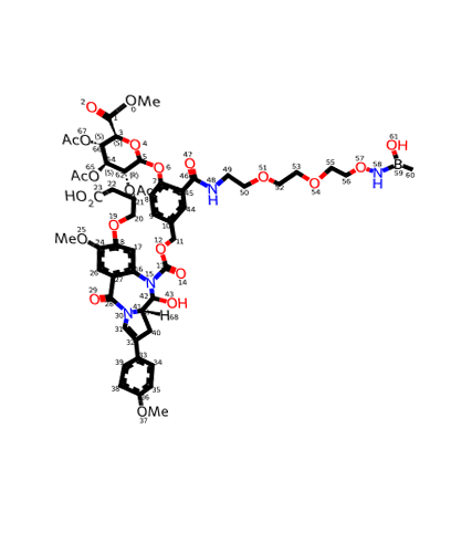 COC(=O)[C@H]1OC(Oc2ccc(COC(=O)N3c4cc(OCCCC(=O)O)c(OC)cc4C(=O)N4C=C(c5ccc(OC)cc5)C[C@H]4C3O)cc2C(=O)NCCOCCOCCONB(C)O)[C@H](OC(C)=O)[C@@H](OC(C)=O)[C@@H]1OC(C)=O